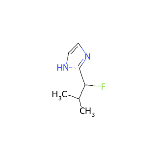 CC(C)C(F)c1ncc[nH]1